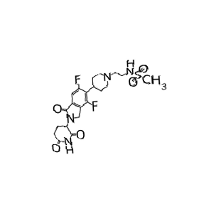 CS(=O)(=O)NCCN1CCC(c2c(F)cc3c(c2F)CN(C2CCC(=O)NC2=O)C3=O)CC1